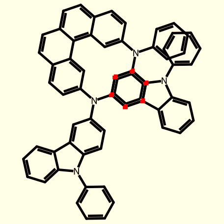 c1ccc(N(c2ccccc2)c2ccc3ccc4ccc5ccc(N(c6ccc7c(c6)c6ccccc6n7-c6ccccc6)c6ccc7c(c6)c6ccccc6n7-c6ccccc6)cc5c4c3c2)cc1